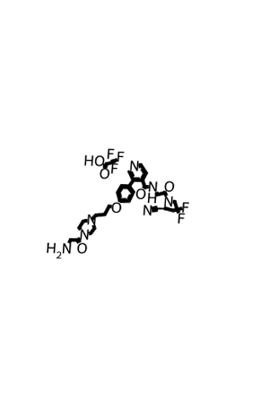 N#C[C@@H]1CC(F)(F)CN1C(=O)CNC(=O)c1ccncc1-c1ccc(OCCCN2CCN(C(=O)CN)CC2)cc1.O=C(O)C(F)(F)F